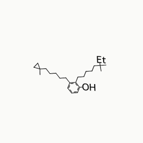 CCC(C)(C)CCCCCc1c(O)cccc1CCCCCC1(C)CC1